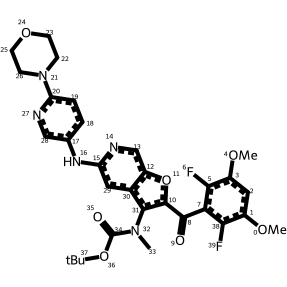 COc1cc(OC)c(F)c(C(=O)c2oc3cnc(Nc4ccc(N5CCOCC5)nc4)cc3c2N(C)C(=O)OC(C)(C)C)c1F